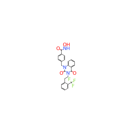 O=C(NO)c1ccc(Cn2c(=O)n(CCc3ccccc3C(F)(F)F)c(=O)c3ccccc32)cc1